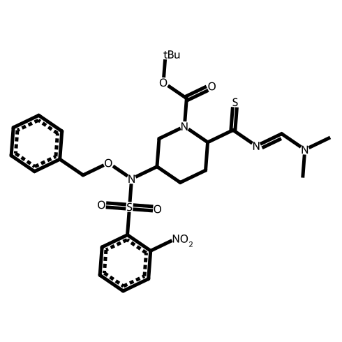 CN(C)/C=N/C(=S)C1CCC(N(OCc2ccccc2)S(=O)(=O)c2ccccc2[N+](=O)[O-])CN1C(=O)OC(C)(C)C